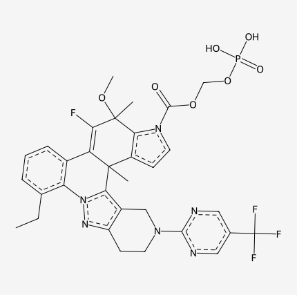 CCc1cccc2c1-n1nc3c(c1C1(C)C2=C(F)C(C)(OC)c2c1ccn2C(=O)OCOP(=O)(O)O)CN(c1ncc(C(F)(F)F)cn1)CC3